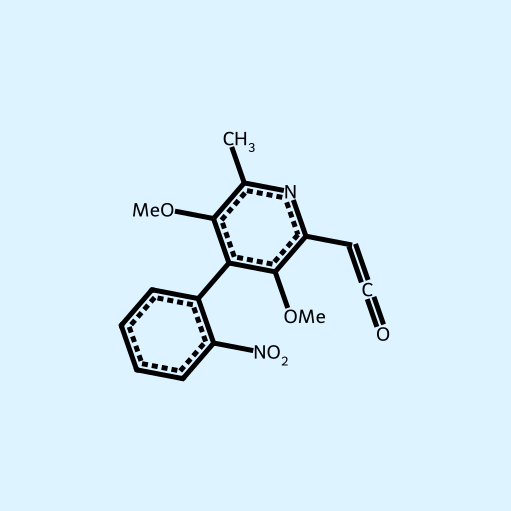 COc1c(C)nc(C=C=O)c(OC)c1-c1ccccc1[N+](=O)[O-]